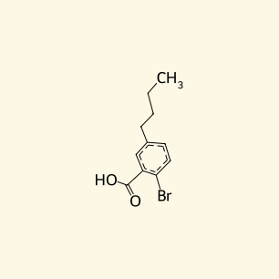 CCCCc1ccc(Br)c(C(=O)O)c1